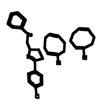 Clc1ccc(C2=NC(C[Se]c3ccccc3)CC2)cc1.[Ni][C]1=CCCC=CCC1.[Ni][C]1=CCCC=CCC1